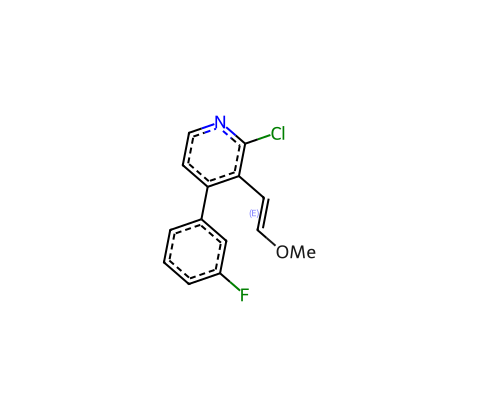 CO/C=C/c1c(-c2cccc(F)c2)ccnc1Cl